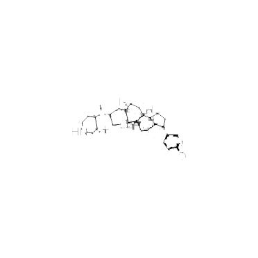 CN(C1CCNC[C@@H]1F)[C@H]1CC[C@@]2(C)[C@H](CC[C@@H]3[C@@H]2CC[C@]2(C)[C@@H](c4ccc(=O)oc4)CC[C@]32O)C1